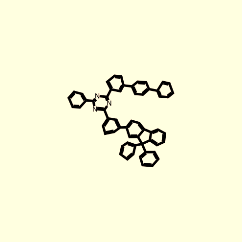 c1ccc(-c2ccc(-c3cccc(-c4nc(-c5ccccc5)nc(-c5cccc(-c6ccc7c(c6)C(c6ccccc6)(c6ccccc6)c6ccccc6-7)c5)n4)c3)cc2)cc1